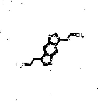 C=CCc1csc2cc3c(CC=C)csc3cc12